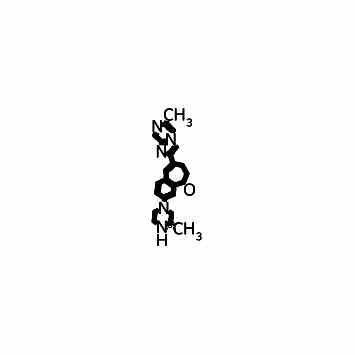 Cc1cn2cc(C3=Cc4ccc(N5CCN[C@@H](C)C5)cc4C(=O)CC3)nc2cn1